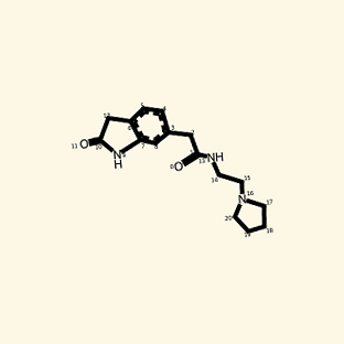 O=C(Cc1ccc2c(c1)NC(=O)C2)NCCN1CCCC1